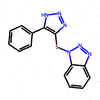 c1ccc(-c2[nH]nnc2Sn2nnc3ccccc32)cc1